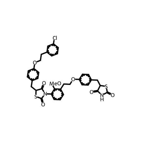 COc1c(CCOc2ccc(CC3SC(=O)NC3=O)cc2)cccc1N1C(=O)SC(Cc2ccc(OCCc3cccc(Cl)c3)cc2)C1=O